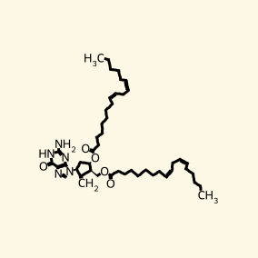 C=C1[C@H](COC(=O)CCCCCCC/C=C\C/C=C\CCCCC)[C@@H](OC(=O)CCCCCCC/C=C\C/C=C\CCCCC)C[C@@H]1n1cnc2c(=O)[nH]c(N)nc21